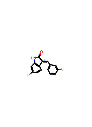 O=C1Nc2cc(F)ccc2/C1=C\c1cccc(Cl)c1